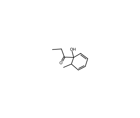 CCC(=O)C1(O)C=CC=CC1C